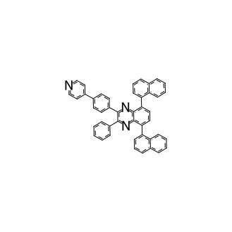 c1ccc(-c2nc3c(-c4cccc5ccccc45)ccc(-c4cccc5ccccc45)c3nc2-c2ccc(-c3ccncc3)cc2)cc1